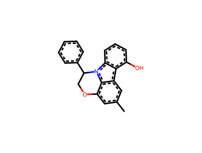 Cc1cc2c3c(c1)c1c(O)cccc1n3C(c1ccccc1)CO2